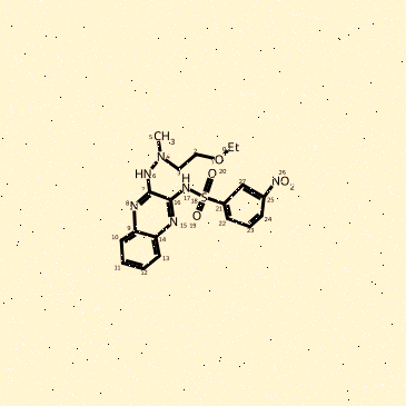 CCOCCN(C)Nc1nc2ccccc2nc1NS(=O)(=O)c1cccc([N+](=O)[O-])c1